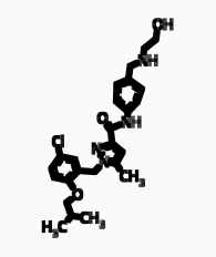 Cc1cc(C(=O)Nc2ccc(CNCCO)cc2)nn1Cc1cc(Cl)ccc1OCC(C)C